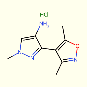 Cc1noc(C)c1-c1nn(C)cc1N.Cl